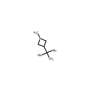 CCCCC(C)(CCCC)C1CN(C)C1